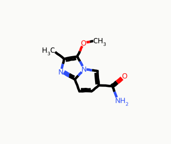 COc1c(C)nc2ccc(C(N)=O)cn12